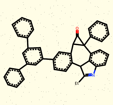 CCC1=Nc2cccc3c2C1c1ccc(-c2cc(-c4ccccc4)cc(-c4ccccc4)c2)cc1C1C(=O)C31c1ccccc1